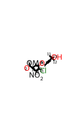 COC(=O)c1cc(OCC#CC(C)(C)O)c(Cl)c([N+](=O)[O-])c1